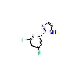 Fc1cc(F)cc(-c2ncc[nH]2)c1